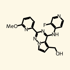 COc1cccc(-c2nc(Nc3ccncc3F)c3c(CO)ccn3n2)n1